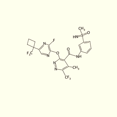 Cc1c(C(F)(F)F)nnc(Oc2ncc(C3(C(F)(F)F)CCC3)nc2F)c1C(=O)Nc1cccc(S(C)(=N)=O)c1